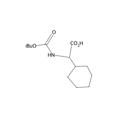 CC(C)COC(=O)NC(C(=O)O)C1CCCCC1